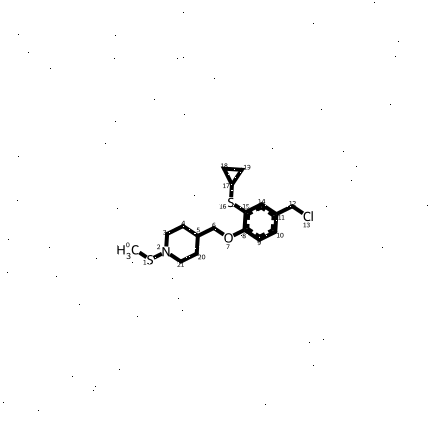 CSN1CCC(COc2ccc(CCl)cc2SC2CC2)CC1